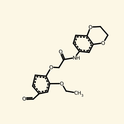 CCOc1cc(C=O)ccc1OCC(=O)Nc1ccc2c(c1)OCCO2